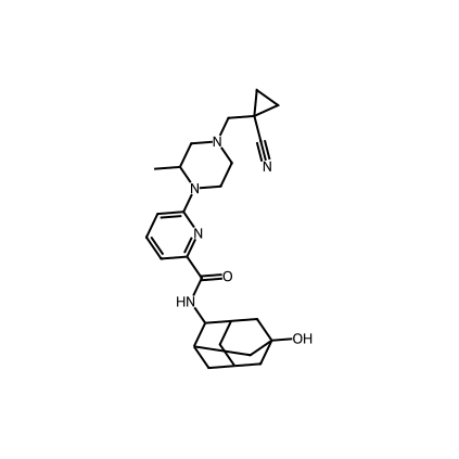 CC1CN(CC2(C#N)CC2)CCN1c1cccc(C(=O)NC2C3CC4CC2CC(O)(C4)C3)n1